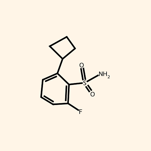 NS(=O)(=O)c1c(F)cccc1C1CCC1